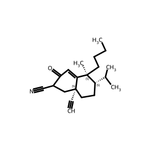 C#C[C@@]12CC[C@@H](C(C)C)[C@](C)(CCCC)C1=CC(=O)C(C#N)C2